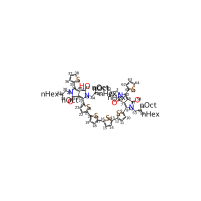 CCCCCCCCC(CCCCCC)CN1C(=O)C2=C(c3ccc(-c4ccc(-c5ccc(-c6ccc(C7=C8C(=O)N(CC(CCCCCC)CCCCCCCC)C(c9cccs9)=C8C(O)N7CC(CCCCCC)CCCCCCCC)s6)s5)s4)s3)N(CC(CCCCCC)CCCCCCCC)C(=O)C2=C1c1cccs1